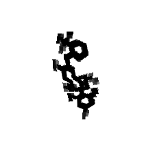 C=C/C=C(Cc1ccccc1C(F)(F)F)\C(F)=C/CNC(=O)c1c(F)cc(F)cc1F